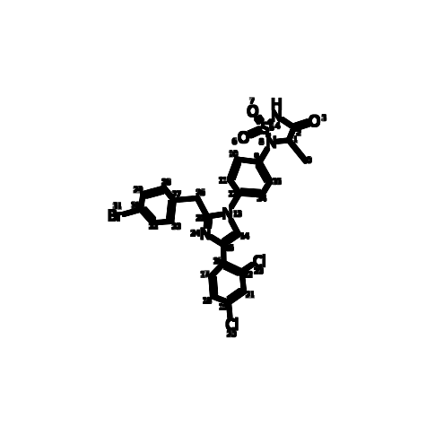 CC1C(=O)NS(=O)(=O)N1c1ccc(-n2cc(-c3ccc(Cl)cc3Cl)nc2Cc2ccc(Br)cc2)cc1